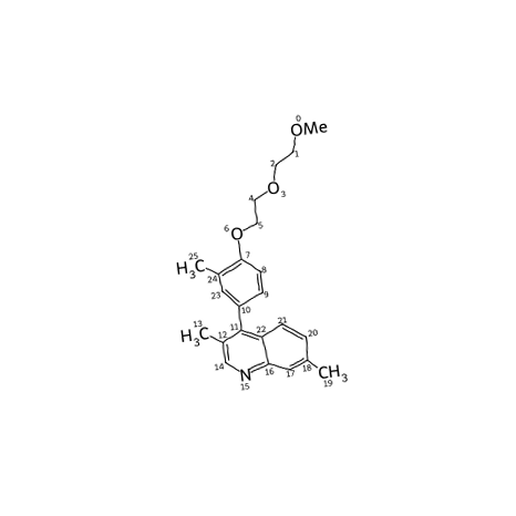 COCCOCCOc1ccc(-c2c(C)cnc3cc(C)ccc23)cc1C